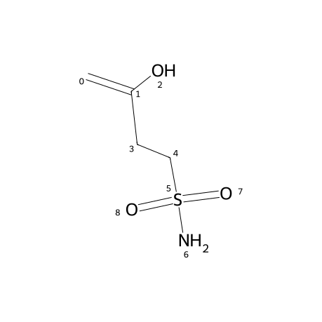 C=C(O)CCS(N)(=O)=O